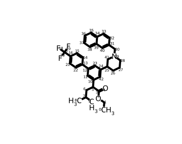 CCOC(=O)C(CC(C)C)c1cc(-c2ccc(C(F)(F)F)cc2)cc(C2CCCN(Cc3ccc4ccccc4c3)C2)c1